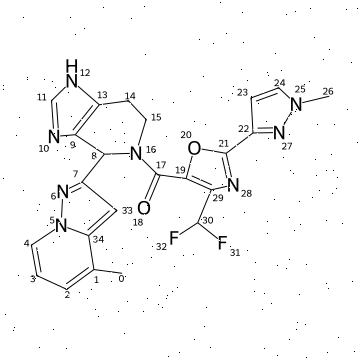 Cc1cccn2nc(C3c4nc[nH]c4CCN3C(=O)c3oc(-c4ccn(C)n4)nc3C(F)F)cc12